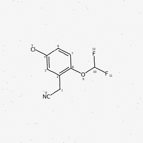 N#CCc1cc(Cl)ccc1OC(F)F